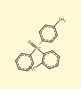 Cc1ccc([P@@](=O)(c2ccccc2)c2ccccc2C)cc1